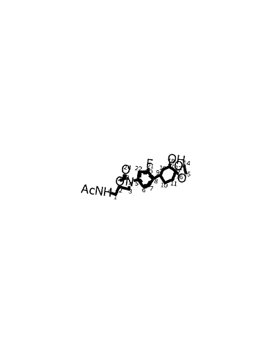 CC(=O)NCC1CN(c2ccc(C3CCC4(OCCO4)C(O)C3)c(F)c2)C(=O)O1